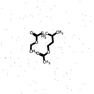 CC(=O)OCCC(C)C.CCOC(C)=O